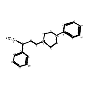 O=C(O)C(CCN1CCN(c2ccccc2)CC1)c1ccccc1